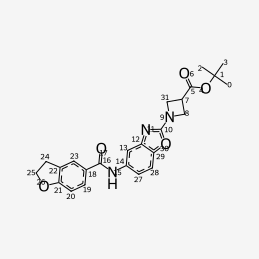 CC(C)(C)OC(=O)C1CN(c2nc3cc(NC(=O)c4ccc5c(c4)CCO5)ccc3o2)C1